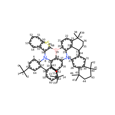 CC(C)(C)c1ccc(N2c3cc(C(C)(C)C)cc4c3B(c3ccc5c6c3N4c3cc4c(cc3C6(C)CCC5(C)C)C(C)(C)CCC4(C)C)c3sc4ccccc4c32)c(-c2ccccc2)c1